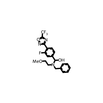 COCCN(Cc1ccccc1)C(O)c1ccc(-c2noc(C(F)(F)F)n2)c(F)c1